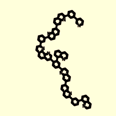 c1cncc(-c2cccc(-c3ccc4ccc(-c5ccc6ccc(-c7cccc(-c8ccc9ccc%10cc(-c%11ccc(-c%12ccc%13ccc(-c%14ccc%15ccc(-c%16cccc(-c%17cccc%18cccnc%17%18)c%16)nc%15c%14)cc%13n%12)cc%11-c%11cccc%12cccnc%11%12)cnc%10c9n8)c7)nc6c5)cc4n3)c2)c1